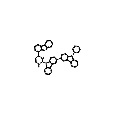 C1=CC(c2cccc3c2sc2ccccc23)NC(n2c3ccccc3c3cc(-c4ccc5c(c4)c4ccccc4n5-c4ccccc4)ccc32)N1